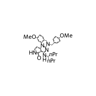 CCCC(CCC)Nc1nc(N(Cc2ccc(OC)cc2)Cc2ccc(OC)cc2)nc2cc[nH]c(=O)c12